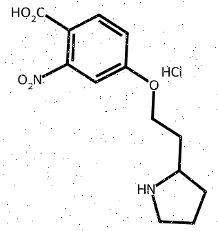 Cl.O=C(O)c1ccc(OCCC2CCCN2)cc1[N+](=O)[O-]